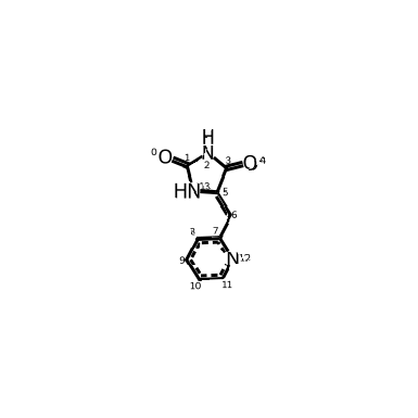 O=C1NC(=O)/C(=C/c2ccccn2)N1